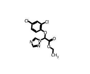 CCOC(=O)C(Oc1ccc(Cl)cc1Cl)n1cncn1